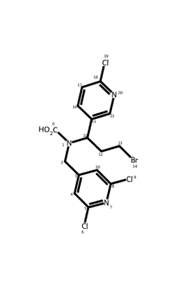 O=C(O)N(Cc1cc(Cl)nc(Cl)c1)C(CCBr)c1ccc(Cl)nc1